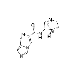 O=C(NC1CN2CC[C@H]1C2)c1cn2cncc2cn1